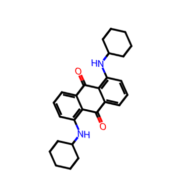 O=C1c2cccc(NC3CCCCC3)c2C(=O)c2cccc(NC3CCCCC3)c21